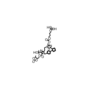 CCCc1nc(C(C)(C)O)c(C(=O)OCC2OC(=O)OC2C)n1Cc1ccc(-c2ccccc2-c2nnn(COC(=O)OCCCCON(O)O)n2)cc1